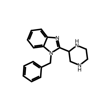 c1ccc(Cn2c(C3CNCCN3)nc3ccccc32)cc1